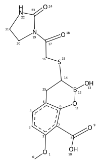 COc1ccc2c(c1C(=O)O)OB(O)C(SCC(=O)N1CCNC1=O)C2